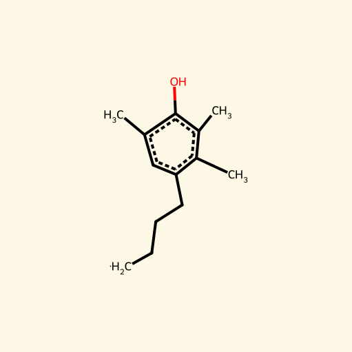 [CH2]CCCc1cc(C)c(O)c(C)c1C